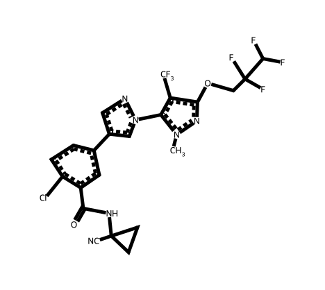 Cn1nc(OCC(F)(F)C(F)F)c(C(F)(F)F)c1-n1cc(-c2ccc(Cl)c(C(=O)NC3(C#N)CC3)c2)cn1